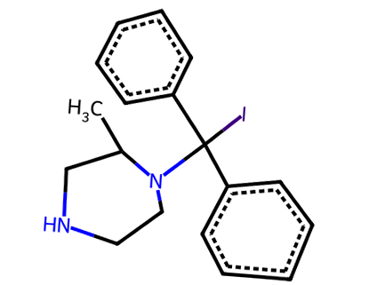 CC1CNCCN1C(I)(c1ccccc1)c1ccccc1